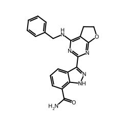 NC(=O)c1cccc2c(-c3nc(NCc4ccccc4)c4c(n3)OCC4)n[nH]c12